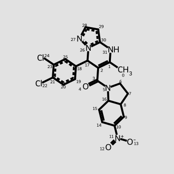 CC1=C(C(=O)N2CCC3C=C([N+](=O)[O-])C=CC32)C(c2ccc(Cl)c(Cl)c2)n2nccc2N1